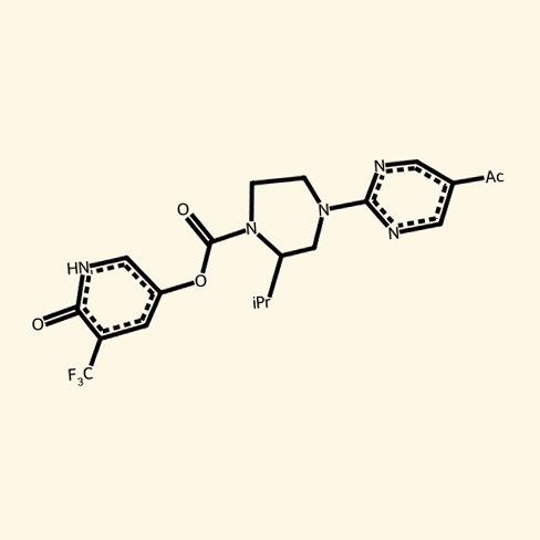 CC(=O)c1cnc(N2CCN(C(=O)Oc3c[nH]c(=O)c(C(F)(F)F)c3)C(C(C)C)C2)nc1